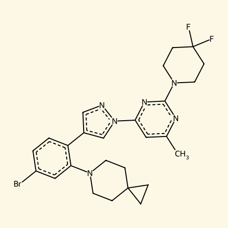 Cc1cc(-n2cc(-c3ccc(Br)cc3N3CCC4(CC3)CC4)cn2)nc(N2CCC(F)(F)CC2)n1